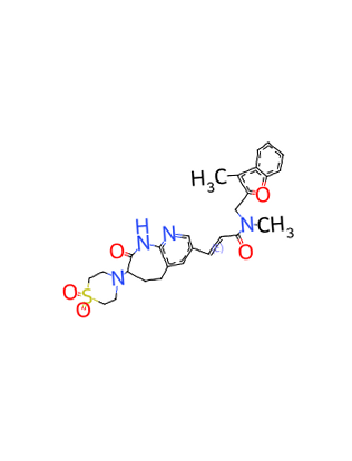 Cc1c(CN(C)C(=O)/C=C/c2cnc3c(c2)CCC(N2CCS(=O)(=O)CC2)C(=O)N3)oc2ccccc12